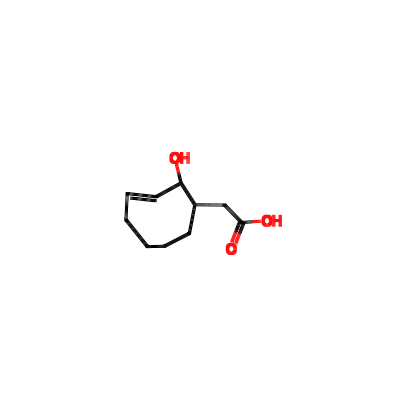 O=C(O)CC1CCCC/C=C/C1O